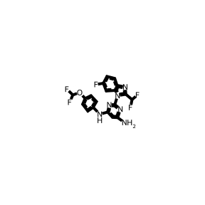 Nc1cc(Nc2ccc(OC(F)F)cc2)nc(-n2c(C(F)F)nc3ccc(F)cc32)n1